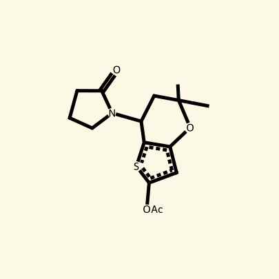 CC(=O)Oc1cc2c(s1)C(N1CCCC1=O)CC(C)(C)O2